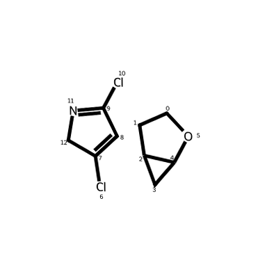 C1CC2CC2O1.ClC1=CC(Cl)=NC1